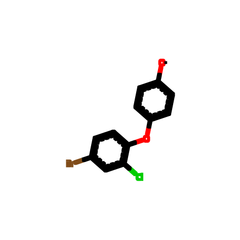 [O]c1ccc(Oc2ccc(Br)cc2Cl)cc1